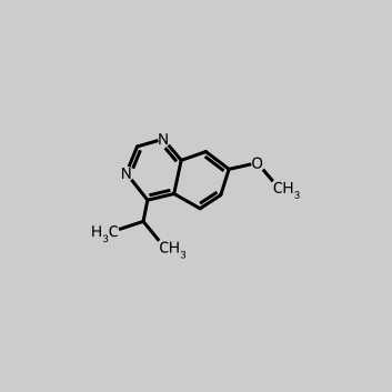 COc1ccc2c(C(C)C)ncnc2c1